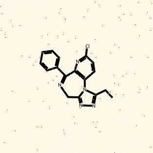 CCc1nnc2n1-c1ccc(Cl)nc1C(c1ccccc1)=NC2